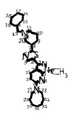 Cn1nc(-c2cnc(C3CCCN(CC4CCCCC4)C3)s2)c2ccc(N3CCCCCCC3)nc21